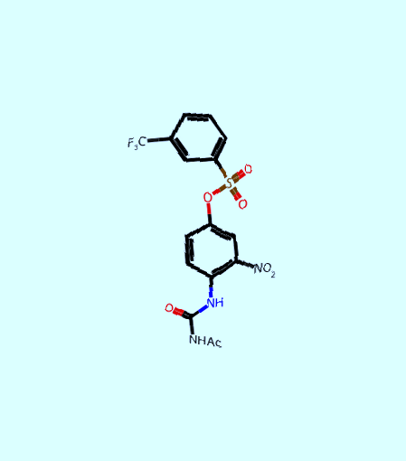 CC(=O)NC(=O)Nc1ccc(OS(=O)(=O)c2cccc(C(F)(F)F)c2)cc1[N+](=O)[O-]